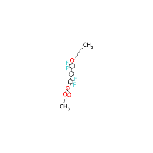 CCCCCCCCCOc1ccc(-c2ccc(-c3ccc(COC4COC(CCCCC)OC4)c(F)c3F)cc2)c(F)c1F